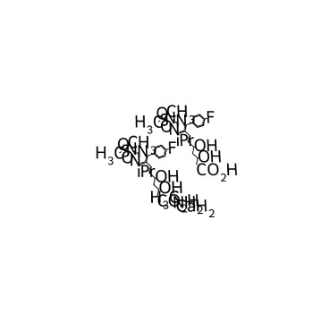 CC(C)c1nc(N(C)S(C)(=O)=O)nc(-c2ccc(F)cc2)c1C=C[C@@H](O)C[C@@H](O)CC(=O)O.CC(C)c1nc(N(C)S(C)(=O)=O)nc(-c2ccc(F)cc2)c1C=C[C@@H](O)C[C@@H](O)CC(=O)O.CN.[CaH2]